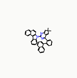 CC1(C)C=c2nc(-n3c4ccccc4c4c5ccccc5ccc43)nc(-c3ccccc3-c3cccc4ccccc34)c2=C1